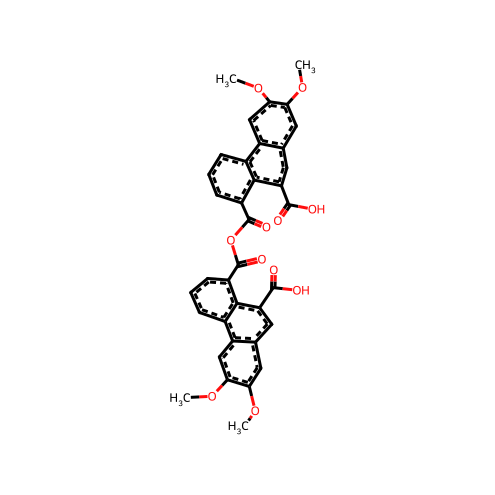 COc1cc2cc(C(=O)O)c3c(C(=O)OC(=O)c4cccc5c4c(C(=O)O)cc4cc(OC)c(OC)cc45)cccc3c2cc1OC